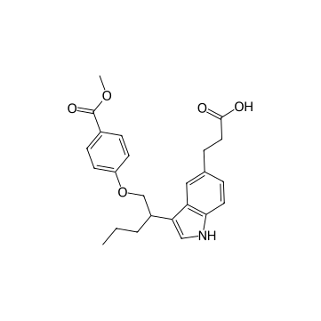 CCCC(COc1ccc(C(=O)OC)cc1)c1c[nH]c2ccc(CCC(=O)O)cc12